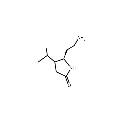 CC(C)C1CC(=O)N[C@@H]1CCN